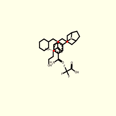 NC(=O)c1cccc(C2CC3CCC(C2)N3CCN(CC2CCCCC2)C(=O)[C@@H](O)CCO)c1.O=C(O)C(F)(F)F